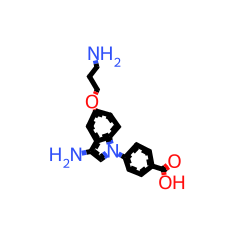 NCCCOc1ccc2c(c1)c(N)cn2-c1ccc(C(=O)O)cc1